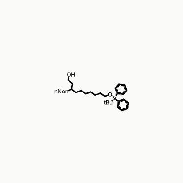 CCCCCCCCCC(CCO)CCCCCCCO[Si](c1ccccc1)(c1ccccc1)C(C)(C)C